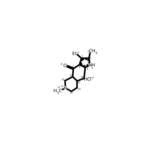 CCc1c(C)[nH]c2c1C(=O)C1CN(C)CCC1C2.Cl